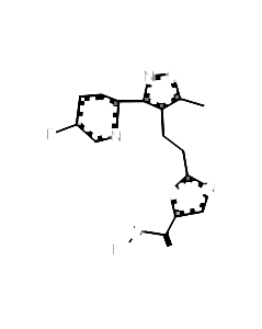 CCNC(=O)c1cnc(CCc2c(-c3ccc(F)cn3)noc2C)s1